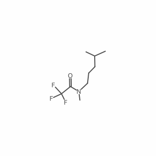 CC(C)CCCN(C)C(=O)C(F)(F)F